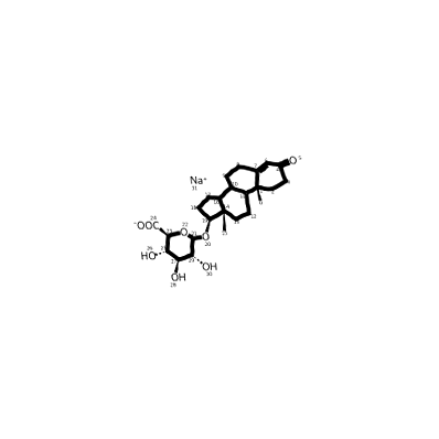 C[C@]12CCC(=O)C=C1CCC1C2CC[C@@]2(C)C1CC[C@@H]2OC1O[C@H](C(=O)[O-])[C@@H](O)[C@H](O)[C@H]1O.[Na+]